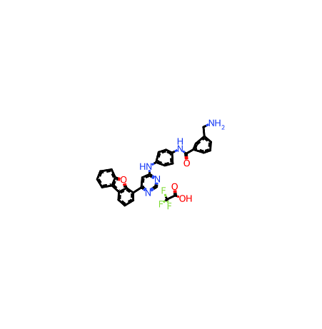 NCc1cccc(C(=O)Nc2ccc(Nc3cc(-c4cccc5c4oc4ccccc45)ncn3)cc2)c1.O=C(O)C(F)(F)F